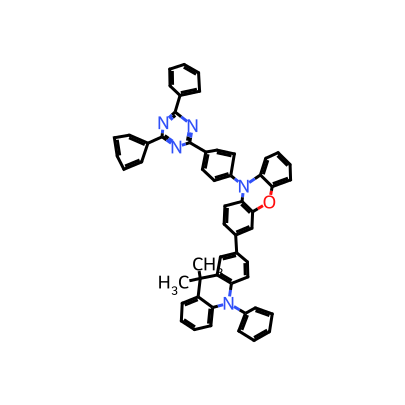 CC1(C)c2ccccc2N(c2ccccc2)c2ccc(-c3ccc4c(c3)Oc3ccccc3N4c3ccc(-c4nc(-c5ccccc5)nc(-c5ccccc5)n4)cc3)cc21